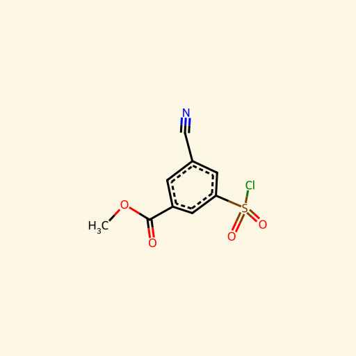 COC(=O)c1cc(C#N)cc(S(=O)(=O)Cl)c1